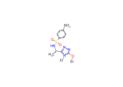 CCOc1nnc([C@@H](C)NS(=O)(=O)c2ccc([N+](=O)[O-])cc2)n1CC